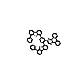 c1ccc(-c2cccc3c2oc2c(-c4ccc(-c5cccc6c5oc5c(-c7ccccc7)cccc56)c(-c5cnc6c7ccccc7c7ccccc7c6n5)c4)cccc23)cc1